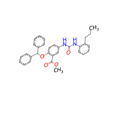 CCCc1ccccc1NC(=O)Nc1ccc(OC(c2ccccc2)c2ccccc2)c(C(=O)OC)c1